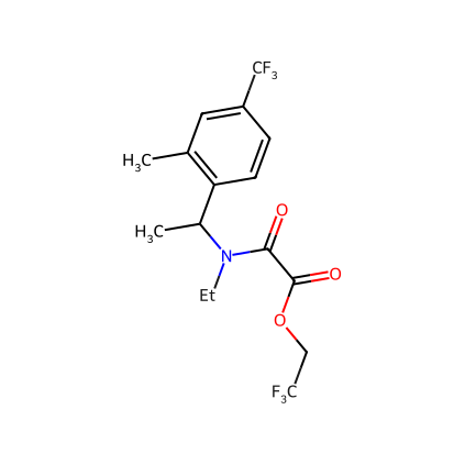 CCN(C(=O)C(=O)OCC(F)(F)F)C(C)c1ccc(C(F)(F)F)cc1C